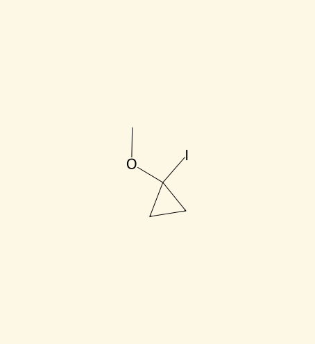 COC1(I)CC1